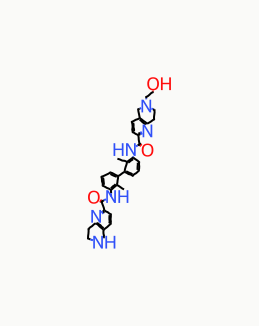 Cc1c(NC(=O)c2ccc3c(n2)CCNC3)cccc1-c1cccc(NC(=O)c2ccc3c(n2)CCN(CCO)C3)c1C